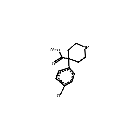 COC(=O)C1(c2ccc(Cl)cc2)CCNCC1